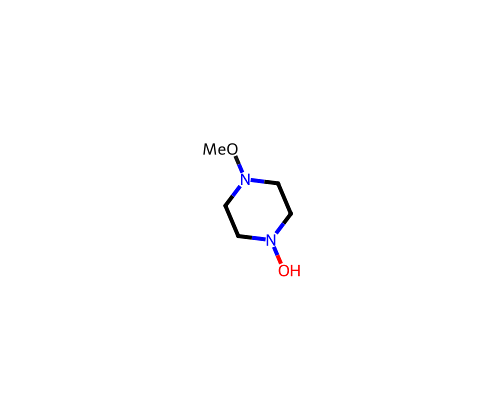 CON1CCN(O)CC1